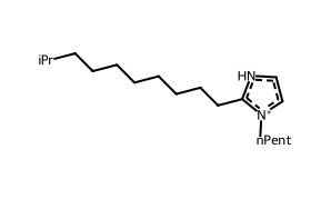 CCCCC[n+]1cc[nH]c1CCCCCCCCC(C)C